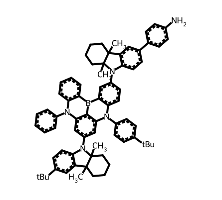 CC(C)(C)c1ccc(N2c3ccc(N4c5ccc(-c6ccc(N)cc6)cc5C5(C)CCCCC45C)cc3B3c4ccccc4N(c4ccccc4)c4cc(N5c6ccc(C(C)(C)C)cc6C6(C)CCCCC56C)cc2c43)cc1